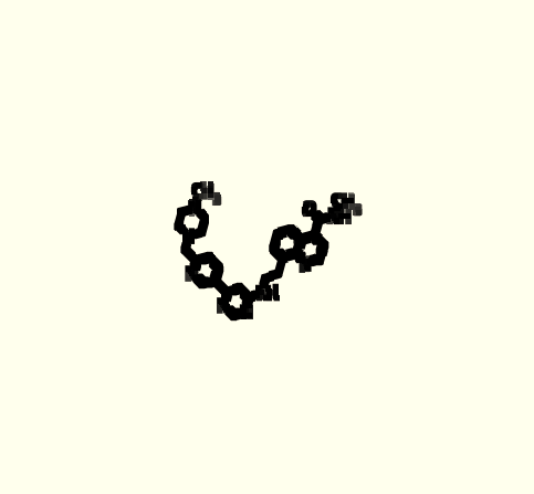 CNC(=O)c1ccnc2c(CCNc3cc(-c4ccc(CN5CCN(C)CC5)nc4)ncn3)cccc12